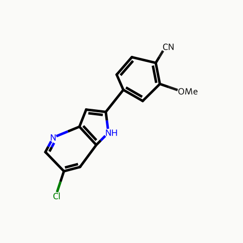 COc1cc(-c2cc3ncc(Cl)cc3[nH]2)ccc1C#N